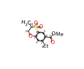 CCc1cc2c(cc1C(=O)OC)S(=O)(=O)C(C)CO2